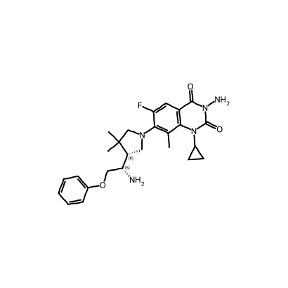 Cc1c(N2C[C@H]([C@H](N)COc3ccccc3)C(C)(C)C2)c(F)cc2c(=O)n(N)c(=O)n(C3CC3)c12